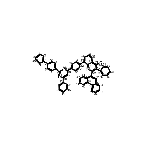 c1ccc(-c2ccc(-c3nc(-c4ccccc4)cc(-c4ccc(-c5cccc6c5nc(-c5cc7ccccc7c7ccccc57)c5c7ccccc7sc65)cc4)n3)cc2)cc1